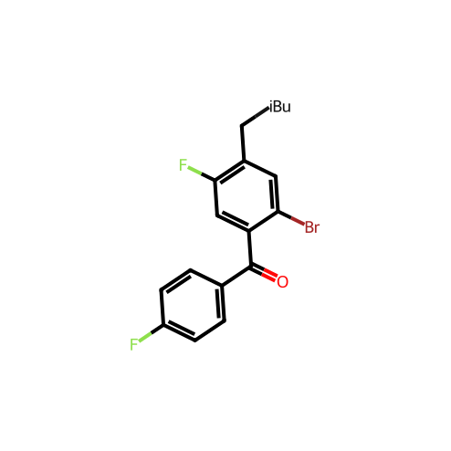 CCC(C)Cc1cc(Br)c(C(=O)c2ccc(F)cc2)cc1F